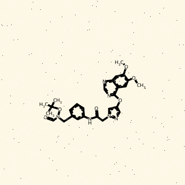 COc1cc2ncnc(Oc3cnn(CC(=O)Nc4cccc(CN(C=O)OC(C)(C)C)c4)c3)c2cc1OC